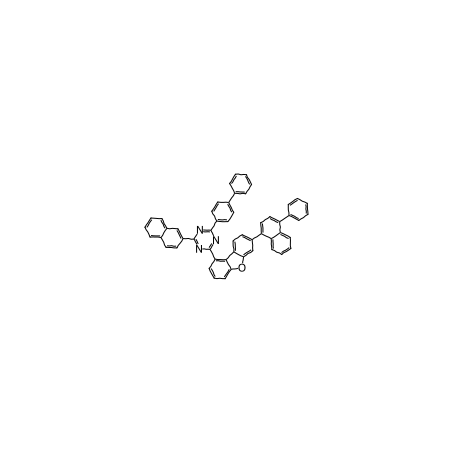 c1ccc(-c2ccc(-c3nc(-c4ccc5ccccc5c4)nc(-c4cccc5oc6cc(-c7ccc(-c8ccccc8)c8ccccc78)ccc6c45)n3)cc2)cc1